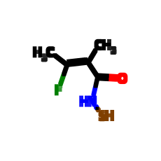 C/C(F)=C(\C)C(=O)NS